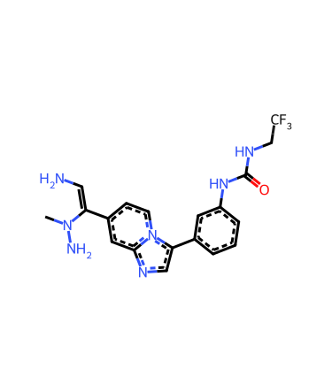 CN(N)/C(=C\N)c1ccn2c(-c3cccc(NC(=O)NCC(F)(F)F)c3)cnc2c1